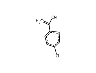 C=C(C#N)c1ccc(Cl)cc1